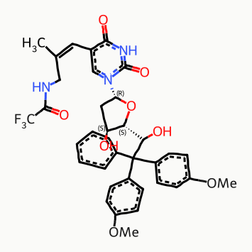 COc1ccc(C(c2ccccc2)(c2ccc(OC)cc2)C(O)[C@H]2O[C@@H](n3cc(C=C(C)CNC(=O)C(F)(F)F)c(=O)[nH]c3=O)C[C@@H]2O)cc1